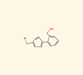 OCc1ccccc1-c1ccc(CBr)cc1